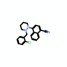 N#Cc1ccc(N2CCCCN2Cc2ccccc2Cl)c2ccccc12